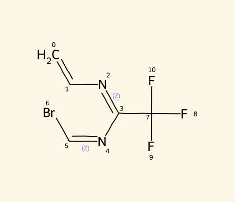 C=C/N=C(\N=C/Br)C(F)(F)F